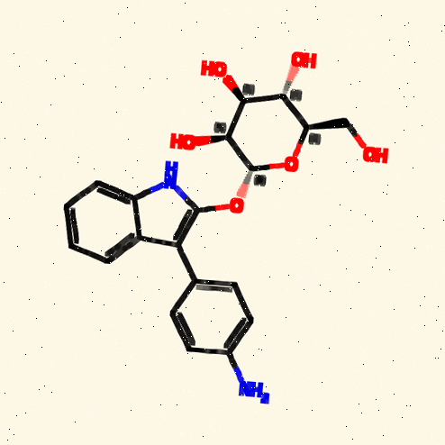 Nc1ccc(-c2c(O[C@H]3O[C@H](CO)[C@@H](O)[C@H](O)[C@@H]3O)[nH]c3ccccc23)cc1